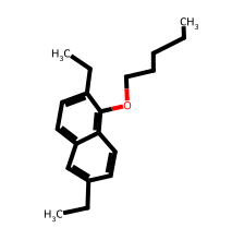 CCCCCOc1c(CC)ccc2cc(CC)ccc12